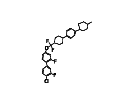 CC1CCC(c2ccc(C3CCC(C(F)(F)Oc4ccc(-c5ccc(Cl)c(F)c5)c(F)c4)CC3)cc2)CC1